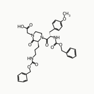 COc1ccc(C[C@H](NC(=O)OCc2ccccc2)C(=O)N2CCN(CC(=O)O)C(=O)[C@@H]2CCCNC(=O)OCc2ccccc2)cc1